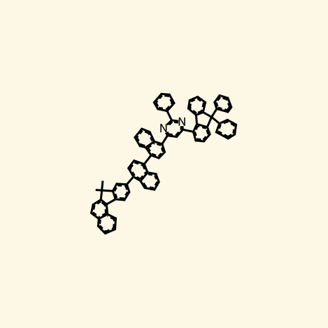 CC1(C)c2cc(-c3ccc(-c4ccc(-c5cc(-c6cccc7c6-c6ccccc6C7(c6ccccc6)c6ccccc6)nc(-c6ccccc6)n5)c5ccccc45)c4ccccc34)ccc2-c2c1ccc1ccccc21